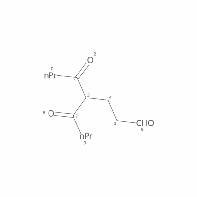 CCCC(=O)C(CCC=O)C(=O)CCC